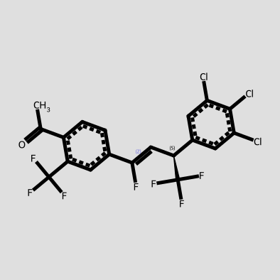 CC(=O)c1ccc(/C(F)=C/[C@@H](c2cc(Cl)c(Cl)c(Cl)c2)C(F)(F)F)cc1C(F)(F)F